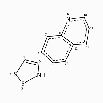 C1=CSSN1.c1ccc2ncccc2c1